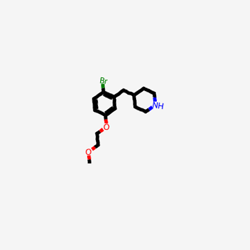 COCCOc1ccc(Br)c(CC2CCNCC2)c1